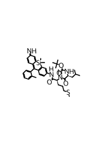 CSCCC[C@H](NC(=O)[C@H](CC(C)C)NC(=O)OC(C)(C)C)C(=O)Nc1ccc2c(c1)[Si](C)(C)C1=CC(=N)C=CC1=C2c1ccccc1C